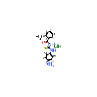 Cc1ccccc1C(=O)NC(=S)Nc1ccc(N)cc1.Cl